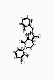 O=C1c2nn(Cc3ncccc3F)c(Cl)c2CCN1c1cccc(Cl)c1F